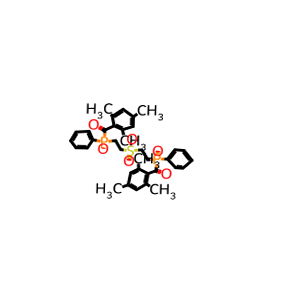 Cc1cc(C)c(C(=O)P(=O)(CCS(=O)(=O)CCP(=O)(C(=O)c2c(C)cc(C)cc2C)c2ccccc2)c2ccccc2)c(C)c1